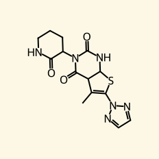 CC1=C(n2nccn2)SC2NC(=O)N(C3CCCNC3=O)C(=O)C12